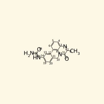 Cc1nc2ccccc2n(Cc2ccc(NC(N)=O)cc2)c1=O